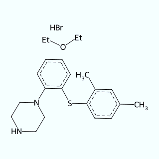 Br.CCOCC.Cc1ccc(Sc2ccccc2N2CCNCC2)c(C)c1